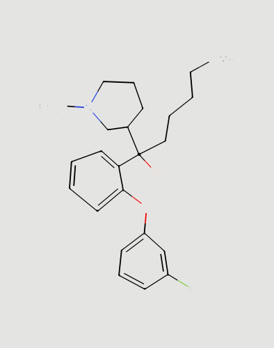 COCCCCC(O)(c1ccccc1Oc1cccc(F)c1)C1CCCN(C(=O)O)C1